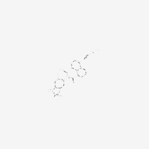 Cc1cc2[nH]c(=O)n(C)c2cc1N1C(=O)c2cccc3c(C#CC(C)(C)O)ccc(c23)C1=O